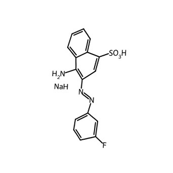 Nc1c(N=Nc2cccc(F)c2)cc(S(=O)(=O)O)c2ccccc12.[NaH]